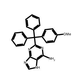 COc1ccc(C(c2ccccc2)(c2ccccc2)c2nc(N)c3[nH]cnc3n2)cc1